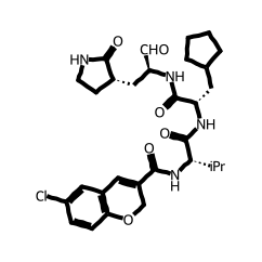 CC(C)[C@H](NC(=O)C1=Cc2cc(Cl)ccc2OC1)C(=O)N[C@@H](CC1CCCC1)C(=O)N[C@H](C=O)C[C@@H]1CCNC1=O